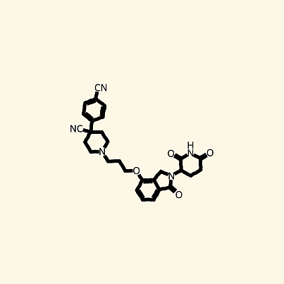 N#Cc1ccc(C2(C#N)CCN(CCCOc3cccc4c3CN(C3CCC(=O)NC3=O)C4=O)CC2)cc1